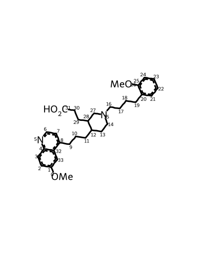 COc1ccc2nccc(CCCC3CCN(CCCCc4ccccc4OC)CC3CCC(=O)O)c2c1